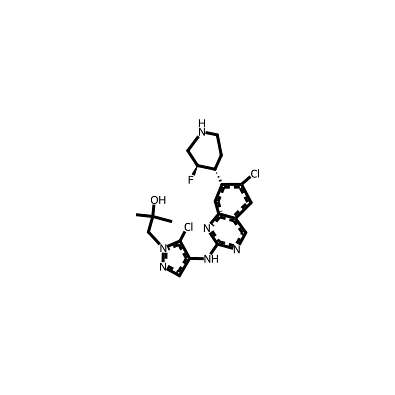 CC(C)(O)Cn1ncc(Nc2ncc3cc(Cl)c([C@H]4CCNC[C@@H]4F)cc3n2)c1Cl